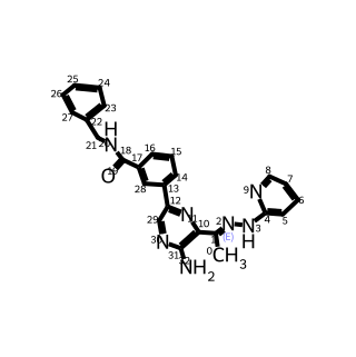 C/C(=N\Nc1ccccn1)c1nc(-c2cccc(C(=O)NCc3ccccc3)c2)cnc1N